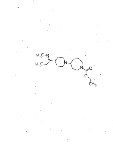 CCOC(=O)N1CCCC(N2CCC(/C(CC)=N/C)CC2)CC1